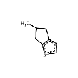 CC1Cc2ccsc2C1